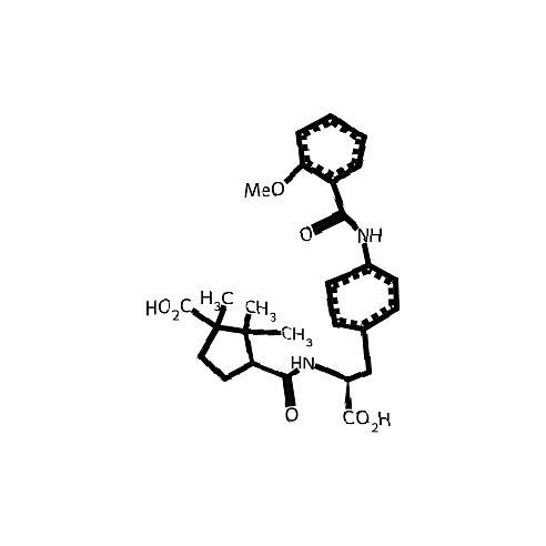 COc1ccccc1C(=O)Nc1ccc(C[C@H](NC(=O)C2CCC(C)(C(=O)O)C2(C)C)C(=O)O)cc1